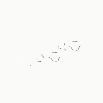 CC(=O)Nc1nc(-c2cccc(NS(=O)(=O)c3cccc(C)c3)c2)cs1